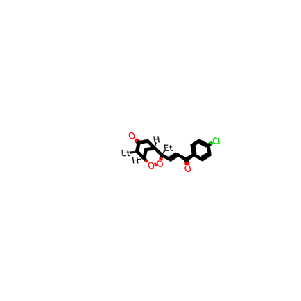 CC[C@H]1C(=O)C[C@@H]2C[C@H]1OO[C@@]2(/C=C/C(=O)c1ccc(Cl)cc1)CC